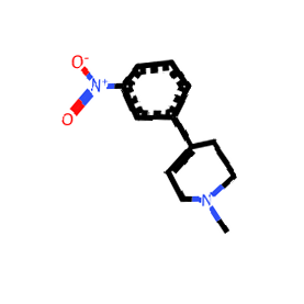 CN1CC=C(c2cccc([N+](=O)[O-])c2)CC1